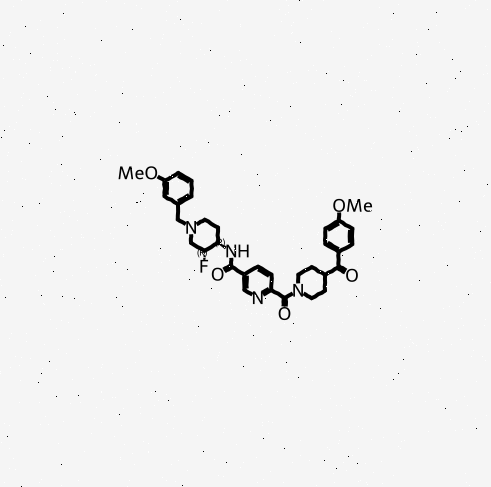 COc1ccc(C(=O)C2CCN(C(=O)c3ccc(C(=O)N[C@@H]4CCN(Cc5cccc(OC)c5)C[C@H]4F)cn3)CC2)cc1